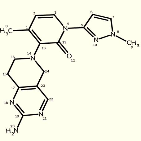 Cc1ccn(-c2ccn(C)n2)c(=O)c1N1CCc2nc(N)ncc2C1